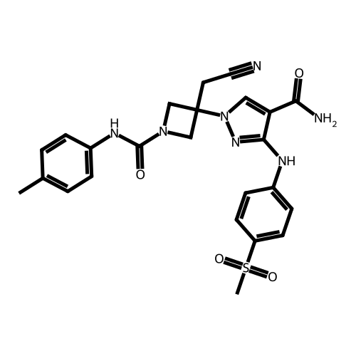 Cc1ccc(NC(=O)N2CC(CC#N)(n3cc(C(N)=O)c(Nc4ccc(S(C)(=O)=O)cc4)n3)C2)cc1